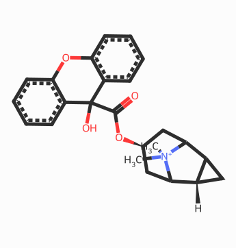 C[N+]1(C)C2C[C@H](OC(=O)C3(O)c4ccccc4Oc4ccccc43)CC1[C@H]1CC21